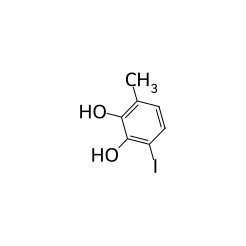 Cc1ccc(I)c(O)c1O